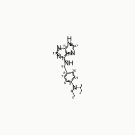 CCN(CC)c1ccc(CNc2ncnc3[nH]cnc23)cc1